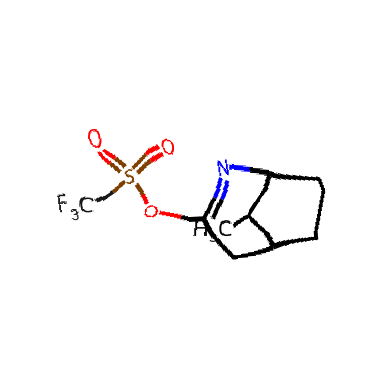 CC1C2CCC1N=C(OS(=O)(=O)C(F)(F)F)C2